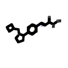 O=C(/C=C/c1ccc(C2CCCN2CC2CCC2)cc1)NO